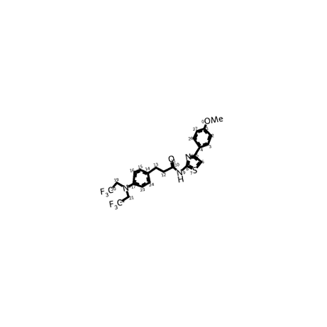 COc1ccc(-c2csc(NC(=O)CCc3ccc(N(CC(F)(F)F)CC(F)(F)F)cc3)n2)cc1